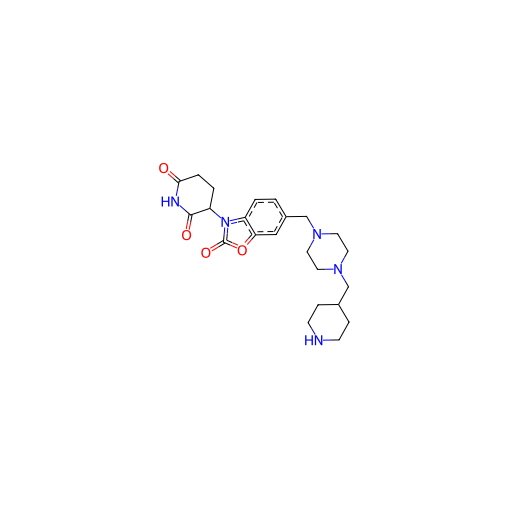 O=C1CCC(n2c(=O)oc3cc(CN4CCN(CC5CCNCC5)CC4)ccc32)C(=O)N1